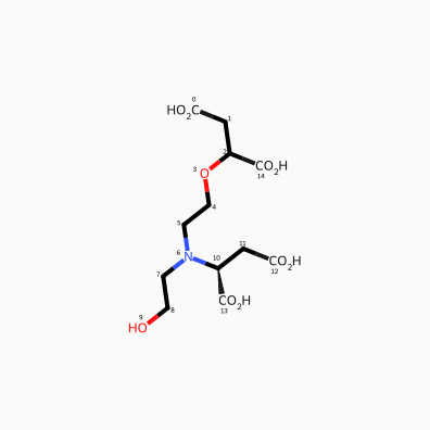 O=C(O)CC(OCCN(CCO)[C@@H](CC(=O)O)C(=O)O)C(=O)O